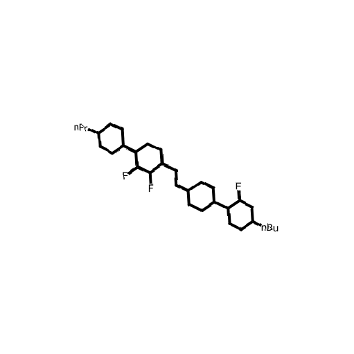 CCCCC1CCC(C2CCC(CCC3CCC(C4CCC(CCC)CC4)C(F)C3F)CC2)C(F)C1